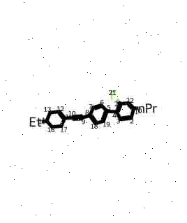 CCCc1ccc(-c2ccc(C#CC3=CCC(CC)CC3)cc2)c(F)c1